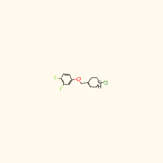 Fc1ccc(OCC2CC[SiH](Cl)CC2)cc1F